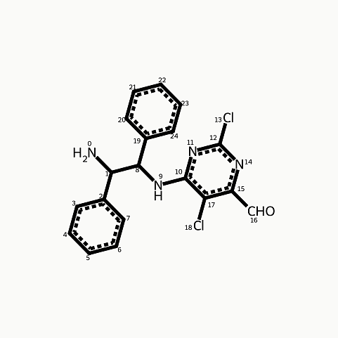 NC(c1ccccc1)C(Nc1nc(Cl)nc(C=O)c1Cl)c1ccccc1